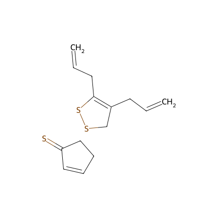 C=CCC1=C(CC=C)SSC1.S=C1C=CCC1